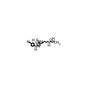 CNCC(=O)NCCCC#Cc1cnc(Nc2ccc(C#N)cc2)nc1NC